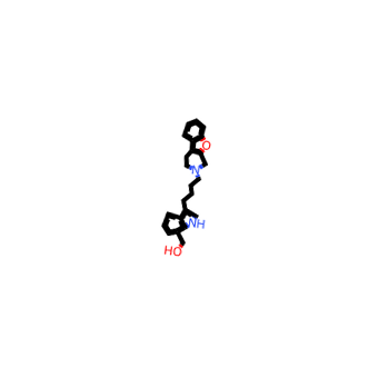 OCc1cccc2c(CCCCN3CCc4c(oc5ccccc45)C3)c[nH]c12